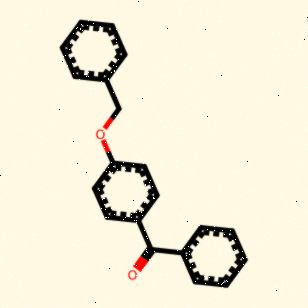 O=C(c1ccccc1)c1ccc(OCc2ccccc2)cc1